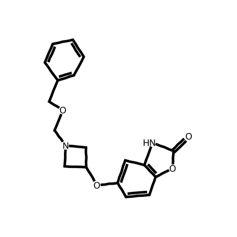 O=c1[nH]c2cc(OC3CN(COCc4ccccc4)C3)ccc2o1